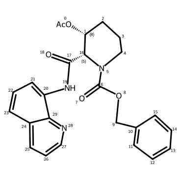 CC(=O)O[C@@H]1CCCN(C(=O)OCc2ccccc2)[C@@H]1C(=O)Nc1cccc2cccnc12